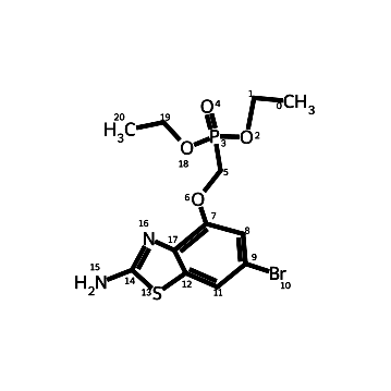 CCOP(=O)(COc1cc(Br)cc2sc(N)nc12)OCC